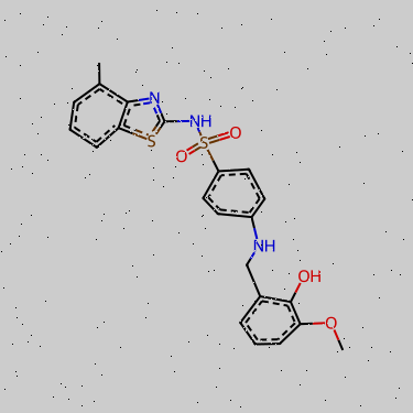 COc1cccc(CNc2ccc(S(=O)(=O)Nc3nc4c(C)cccc4s3)cc2)c1O